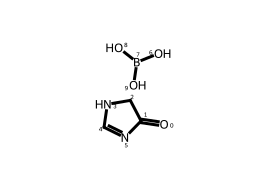 O=C1CNC=N1.OB(O)O